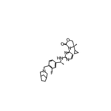 C[C@H](Nc1nccc(N2C(=O)OC[C@]2(C)C2CC2)n1)c1ccc(CN2CC3CCC(C3)C2)c(F)c1